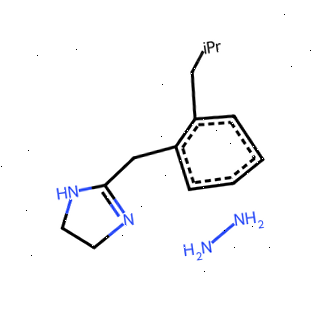 CC(C)Cc1ccccc1CC1=NCCN1.NN